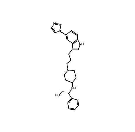 OC[C@H](NC1CCN(CCCc2c[nH]c3ccc(-n4ccnc4)cc23)CC1)c1ccccc1